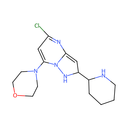 ClC1=NC2=CC(C3CCCCN3)NN2C(N2CCOCC2)=C1